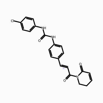 O=C(Nc1ccc(Cl)cc1)Nc1ccc(/C=C/C(=O)N2CCC=CC2=O)cc1